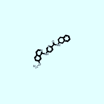 COc1ccc2ccnc(Nc3ccc(C(=O)NC4CCc5ccccc5C4)nc3)c2c1